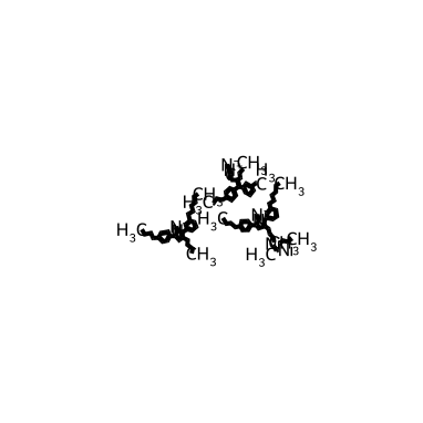 CCCCC(C=C=[N+]=[N-])=C(c1ccc(CCCC)cc1)c1cccc(CC)c1.CCCCCCc1cccc(C2=C(CCCC)C=C(c3ccc(CCCC)cc3)[N+]2=[N-])c1.CCCCCCc1cccc(C2=C(CCCC)C=C(c3ccc(CCCC)cc3)[N+]2=[N-])c1.CC[CH2][Ni][CH2]CC.[Ni]